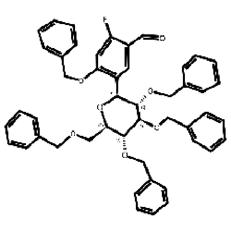 O=Cc1cc([C@@H]2O[C@H](COCc3ccccc3)[C@@H](OCc3ccccc3)[C@H](OCc3ccccc3)[C@H]2OCc2ccccc2)c(OCc2ccccc2)cc1F